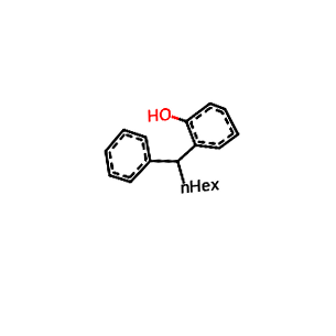 CCCCCCC(c1ccccc1)c1ccccc1O